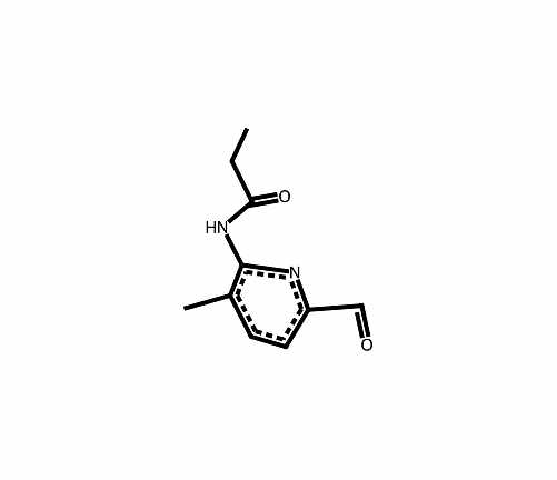 CCC(=O)Nc1nc(C=O)ccc1C